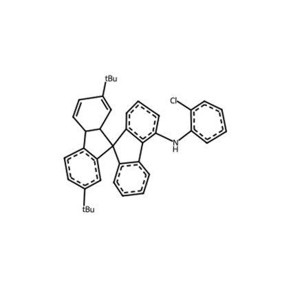 CC(C)(C)C1=CC2C(C=C1)c1ccc(C(C)(C)C)cc1C21c2ccccc2-c2c(Nc3ccccc3Cl)cccc21